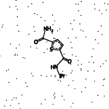 CC(C)NC(=O)c1ccc(C(N)=O)s1